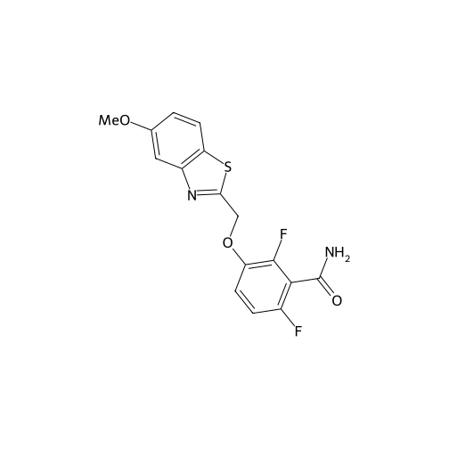 COc1ccc2sc(COc3ccc(F)c(C(N)=O)c3F)nc2c1